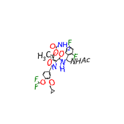 CC(=O)NCC(NC(=O)c1nc(-c2ccc(OC(F)F)c(OCC3CC3)c2)oc1[C@H](C)OC(N)=O)c1ccc(F)cc1F